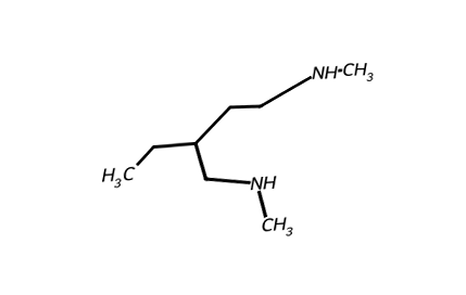 CCC(CCNC)CNC